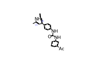 C=C/C=C(\C=C(\C)N)c1ccc(NC(=O)Nc2cccc(C(C)=O)c2)cc1